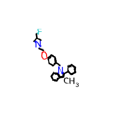 Cc1c(C2=C=C=CC=C2)n(CC2=CC=C(OCCN3CC(CF)C3)CC2)c2ccccc12